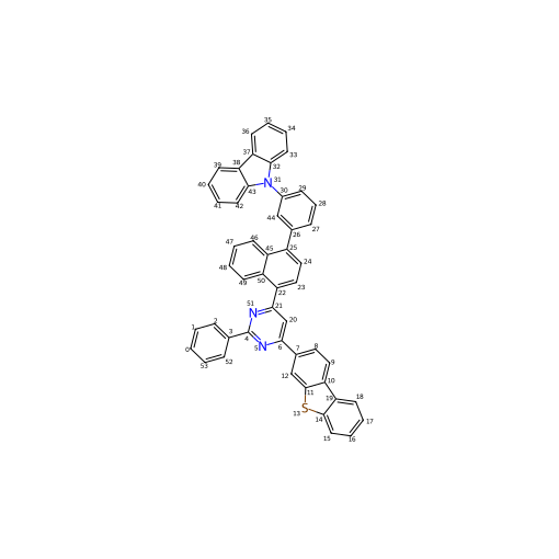 c1ccc(-c2nc(-c3ccc4c(c3)sc3ccccc34)cc(-c3ccc(-c4cccc(-n5c6ccccc6c6ccccc65)c4)c4ccccc34)n2)cc1